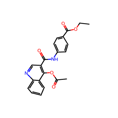 CCOC(=O)c1ccc(NC(=O)c2cnc3ccccc3c2OC(C)=O)cc1